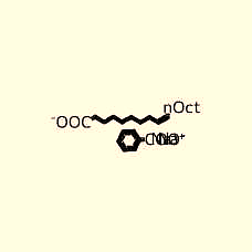 CCCCCCCC/C=C\CCCCCCCC(=O)[O-].O=C([O-])c1ccccc1.[Na+].[Na+]